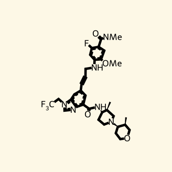 CNC(=O)c1cc(OC)c(NCC#Cc2cc(C(=O)N[C@H]3CCN([C@@H]4CCOC[C@@H]4C)C[C@@H]3C)c3ncn(CC(F)(F)F)c3c2)cc1F